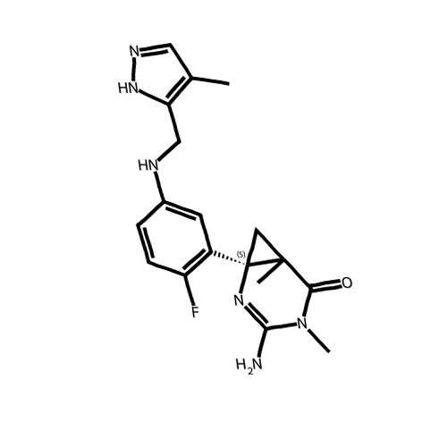 Cc1cn[nH]c1CNc1ccc(F)c([C@]23CC2(C)C(=O)N(C)C(N)=N3)c1